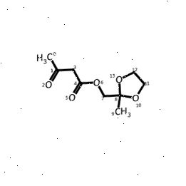 CC(=O)CC(=O)OCC1(C)OCCO1